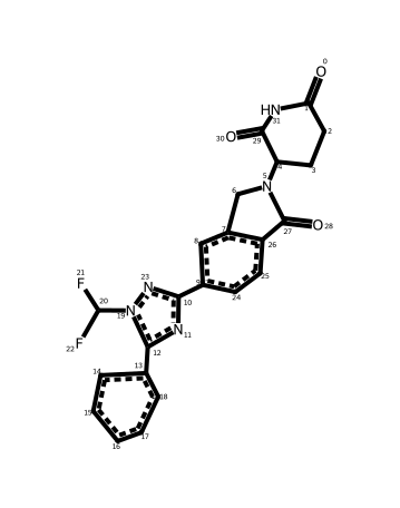 O=C1CCC(N2Cc3cc(-c4nc(-c5ccccc5)n(C(F)F)n4)ccc3C2=O)C(=O)N1